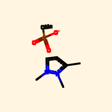 COS(=O)(=O)[O-].Cc1cc[n+](C)n1C